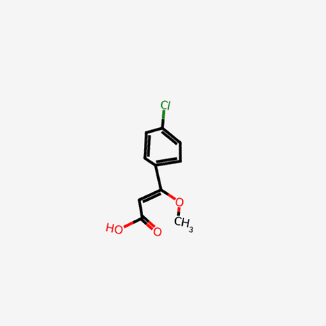 COC(=CC(=O)O)c1ccc(Cl)cc1